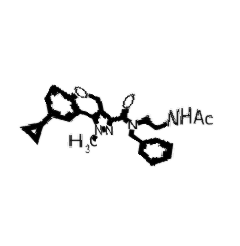 CC(=O)NCCN(Cc1ccccc1)C(=O)c1nn(C)c2c1COc1ccc(C3CC3)cc1-2